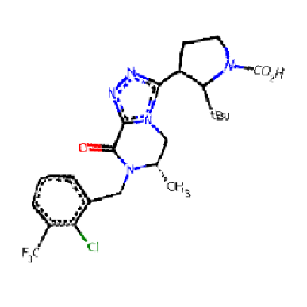 C[C@H]1Cn2c(nnc2C2CCN(C(=O)O)C2C(C)(C)C)C(=O)N1Cc1cccc(C(F)(F)F)c1Cl